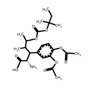 CCC(C)(C)OC(=O)OC(C)C(C)C(c1ccc(OC(C)=O)c(OC(C)=O)c1)[C@H](N)C(=O)O